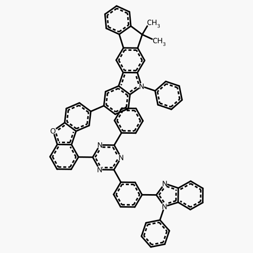 CC1(C)c2ccccc2-c2cc3c4cc(-c5ccc6oc7cccc(-c8nc(-c9ccccc9)nc(-c9cccc(-c%10nc%11ccccc%11n%10-c%10ccccc%10)c9)n8)c7c6c5)ccc4n(-c4ccccc4)c3cc21